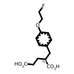 O=C(O)CC[C@@H](Cc1ccc(OCCF)cc1)C(=O)O